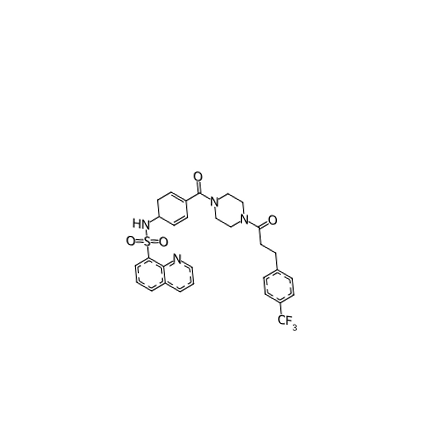 O=C(CCc1ccc(C(F)(F)F)cc1)N1CCN(C(=O)C2=CCC(NS(=O)(=O)c3cccc4cccnc34)C=C2)CC1